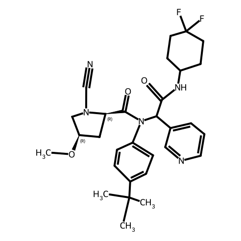 CO[C@@H]1C[C@H](C(=O)N(c2ccc(C(C)(C)C)cc2)C(C(=O)NC2CCC(F)(F)CC2)c2cccnc2)N(C#N)C1